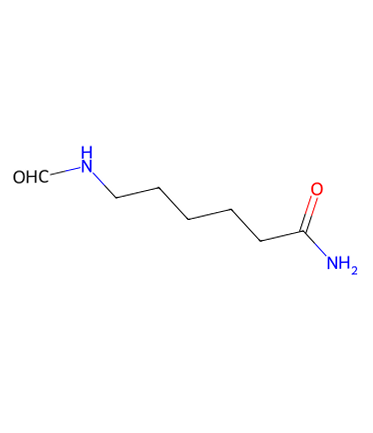 NC(=O)CCCCCNC=O